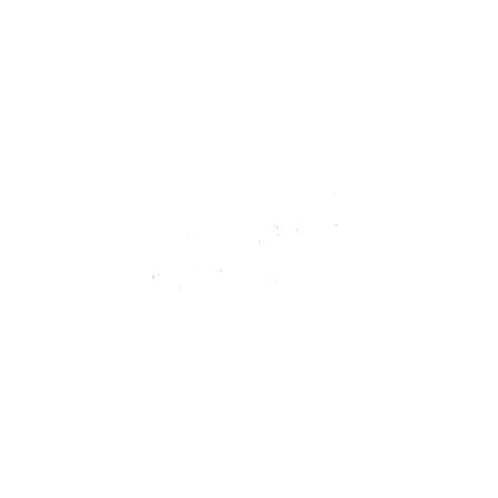 CC(C)C(C)(C)C(=O)NCC(=O)NNS(C)(=O)=O